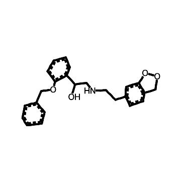 OC(CNCCc1ccc2c(c1)OOC2)c1ccccc1OCc1ccccc1